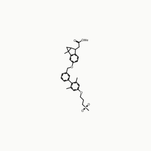 COC(=O)CC1c2ccc(OCc3cccc(-c4c(C)cc(OCCCS(C)(=O)=O)cc4C)c3)cc2C2(C)CC12